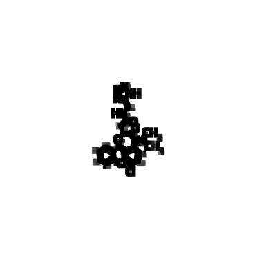 CC(C)N1C(=O)[C@H](CC(=O)NCc2nnn[nH]2)O[C@@H](c2ccccc2Cl)c2cc(Cl)ccc21